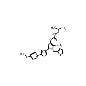 COc1ccc(-c2nc(-c3cc(OC(=O)NCC(C)C)c(C)n3Cc3ccco3)cs2)cc1